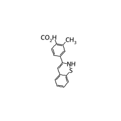 Cc1cc(C2=Cc3ccccc3SN2)ccc1C(=O)O